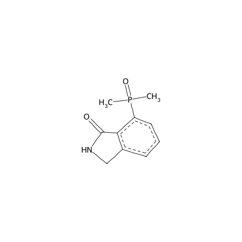 CP(C)(=O)c1cccc2c1C(=O)NC2